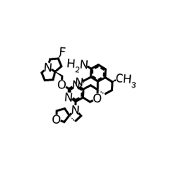 C[C@H]1CC[C@]2(Cc3nc(OC[C@@]45CCCN4C[C@H](F)C5)nc(N4CC[C@]45CCOC5)c3CO2)c2c1ccc(N)c2C#N